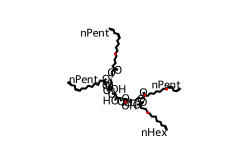 CCCCC/C=C\C/C=C\CCCCCCCCCC(=O)OC[C@H](COP(=O)(O)OCC(O)COP(=O)(O)OC[C@@H](COC(=O)CCCCCCC/C=C\C/C=C\CCCCC)OC(=O)CCCCCCCCC/C=C\CCCCCC)OC(=O)CCCCCCC/C=C\C/C=C\CCCCC